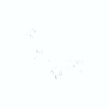 Cc1cc(-c2cc(-c3ccc(C(=O)NCCCn4ccnc4)cc3)[nH]c(=O)n2)ccc1O